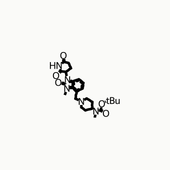 CN(C(=O)OC(C)(C)C)C1CCN(Cc2cccc3c2n(C)c(=O)n3C2CCC(=O)NC2=O)CC1